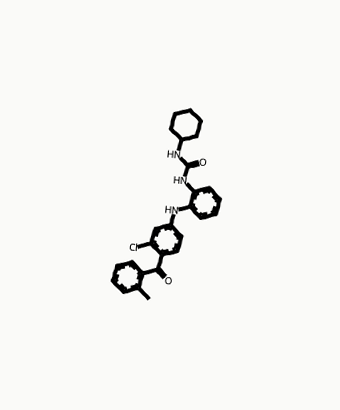 Cc1ccccc1C(=O)c1ccc(Nc2ccccc2NC(=O)NC2CCCCC2)cc1Cl